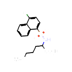 CSCCCC(NS(=O)(=O)c1ccc(Br)c2ccccc12)C(=O)O